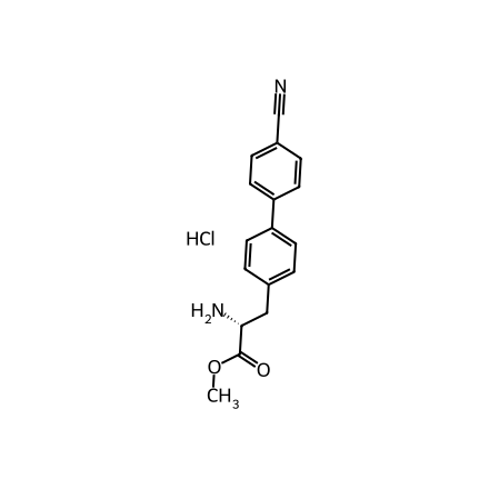 COC(=O)[C@H](N)Cc1ccc(-c2ccc(C#N)cc2)cc1.Cl